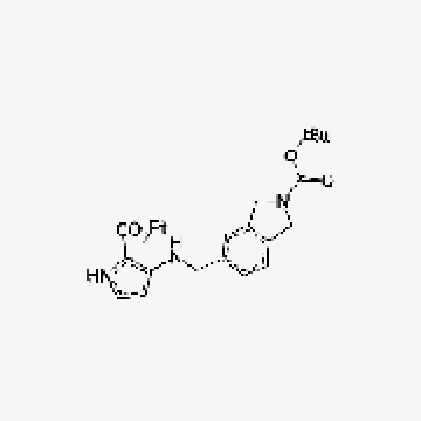 CCOC(=O)c1[nH]ccc1NCc1ccc2c(c1)CN(C(=O)OC(C)(C)C)C2